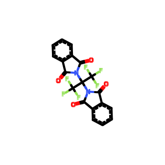 O=C1c2ccccc2C(=O)N1C(N1C(=O)c2ccccc2C1=O)(C(F)(F)F)C(F)(F)F